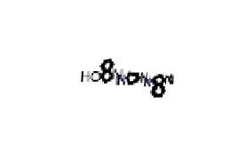 CN(C)c1ccc(/N=N/c2ccc(/N=N/c3ccc(O)c4ccccc34)cc2)c2ccccc12